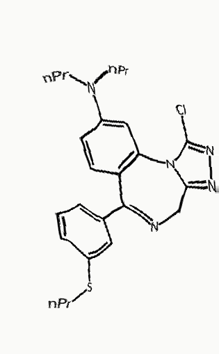 CCCSc1cccc(C2=NCc3nnc(Cl)n3-c3cc(N(CCC)CCC)ccc32)c1